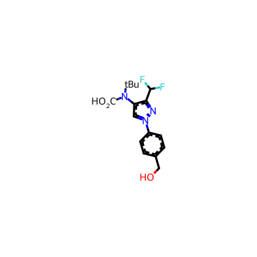 CC(C)(C)N(C(=O)O)c1cn(-c2ccc(CO)cc2)nc1C(F)F